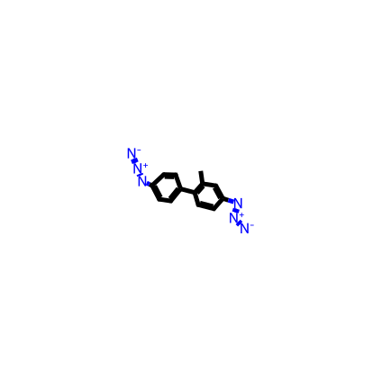 Cc1cc(N=[N+]=[N-])ccc1-c1ccc(N=[N+]=[N-])cc1